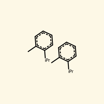 Cc1ccccc1C(C)C.Cc1ccccc1C(C)C